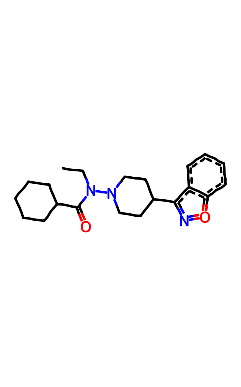 CCN(C(=O)C1CCCCC1)N1CCC(c2noc3ccccc23)CC1